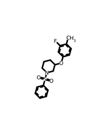 Cc1ccc(OC2CCCN(S(=O)(=O)c3ccccc3)C2)cc1F